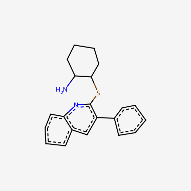 NC1CCCCC1Sc1nc2ccccc2cc1-c1ccccc1